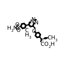 CC#C[C@@H](CC(=O)O)c1ccc(OCc2cc(-c3ccc(S(N)(=O)=O)cc3C)cn3ncnc23)cc1